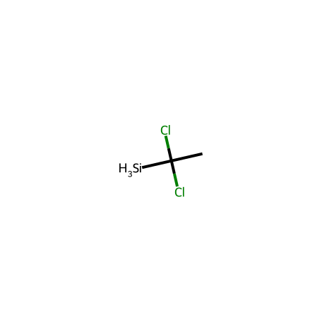 CC([SiH3])(Cl)Cl